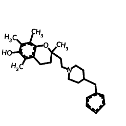 Cc1c(C)c2c(c(C)c1O)CCC(C)(CCN1CCC(Cc3ccccc3)CC1)O2